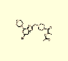 CC(=O)OC(C)C(=O)N1CCN(Cc2cn3cc(Br)nc(N4CCOCC4)c3n2)CC1